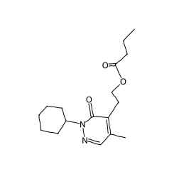 CCCC(=O)OCCc1c(C)cnn(C2CCCCC2)c1=O